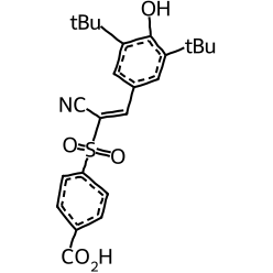 CC(C)(C)c1cc(/C=C(\C#N)S(=O)(=O)c2ccc(C(=O)O)cc2)cc(C(C)(C)C)c1O